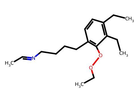 CC=NCCCCc1ccc(CC)c(CC)c1OOCC